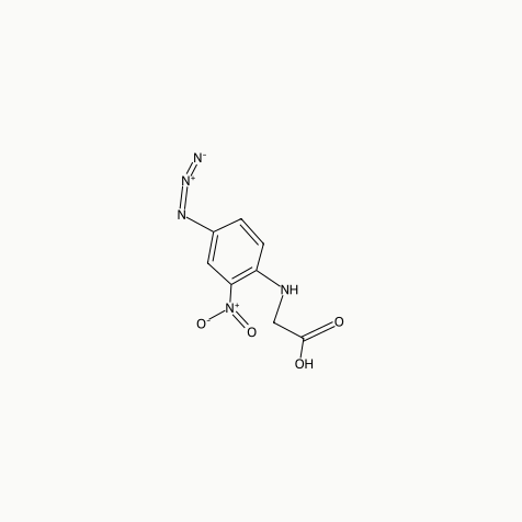 [N-]=[N+]=Nc1ccc(NCC(=O)O)c([N+](=O)[O-])c1